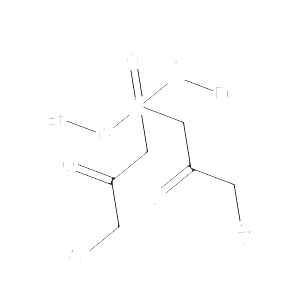 CC[O][Ti](=[O])([CH2]C(=O)CC(C)=O)([CH2]C(=O)CC(C)=O)[O]CC